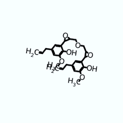 C=CCc1cc(OC)c(O)c(C2OC2COCC2OC2c2cc(CC=C)cc(OC)c2O)c1